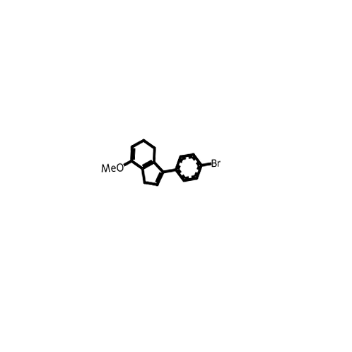 COC1=CCCC2=C1CC=C2c1ccc(Br)cc1